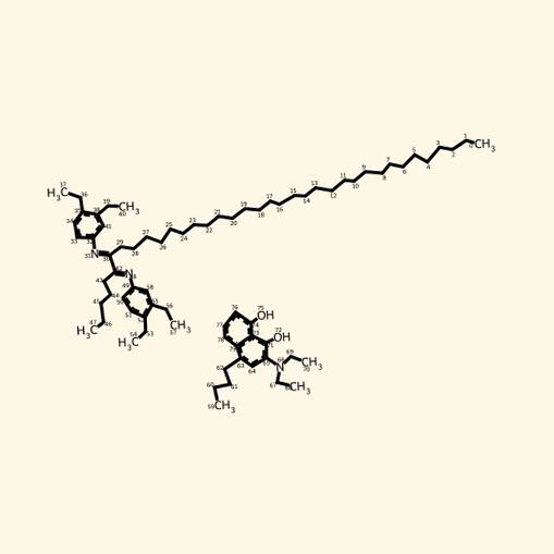 CCCCCCCCCCCCCCCCCCCCCCCCCCCCCCC(=Nc1ccc(CC)c(CC)c1)C(CCCCC)=Nc1ccc(CC)c(CC)c1.CCCCc1cc(N(CC)CC)c(O)c2c(O)cccc12